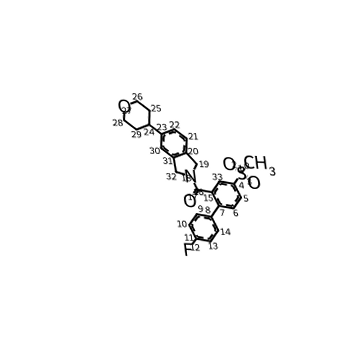 CS(=O)(=O)c1ccc(-c2ccc(F)cc2)c(C(=O)N2Cc3ccc(C4CCOCC4)cc3C2)c1